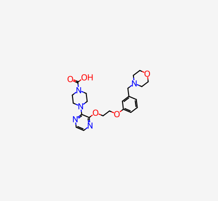 O=C(O)N1CCN(c2nccnc2OCCOc2cccc(CN3CCOCC3)c2)CC1